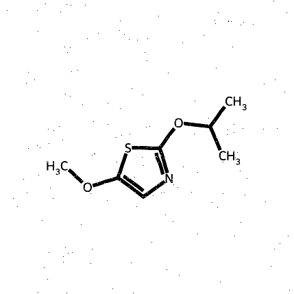 COc1cnc(OC(C)C)s1